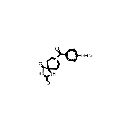 CC(=O)Nc1ccc(C(=O)N2CCC3(CC2)NC(=O)NC3=O)cc1